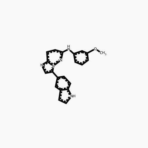 COc1cccc(Nc2ccc3ncc(-c4ccc5[nH]ccc5c4)n3n2)c1